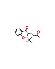 CC(=O)CCC1C(=O)c2ccccc2OC1C(C)(C)C